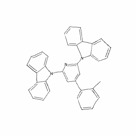 Cc1ccccc1-c1cc(-n2c3ccccc3c3ccccc32)nc(-n2c3ccccc3c3ccccc32)c1